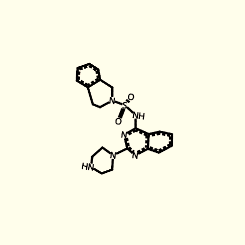 O=S(=O)(Nc1nc(N2CCNCC2)nc2ccccc12)N1CCc2ccccc2C1